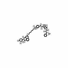 CN(C)C[C@@H](NC(=O)N1Cc2c(NC(=O)c3ccc(C(=O)NCCCCCCOc4cc5c6c(cccc6c4)C(=O)N(C4CCC(=O)NC4=O)C5=O)cc3)n[nH]c2C1(C)C)c1ccccc1